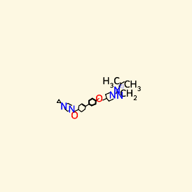 C=N/C(=N\C=C(/C)CC)N1CCC(COc2ccc(C3=CCC(C(=O)N4CCN(C5CC5)CC4)CC3)cc2)CC1